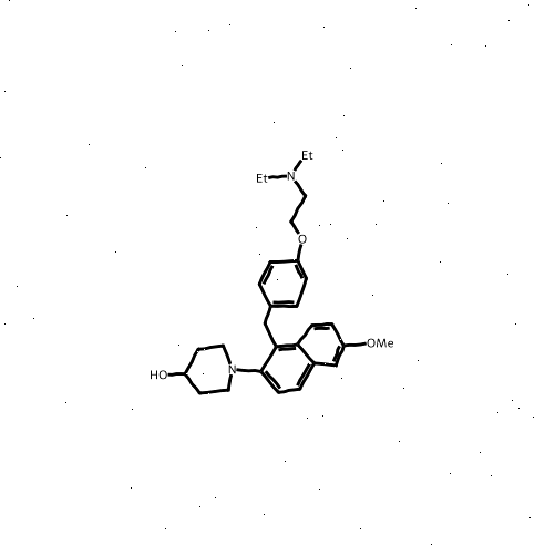 CCN(CC)CCOc1ccc(Cc2c(N3CCC(O)CC3)ccc3cc(OC)ccc23)cc1